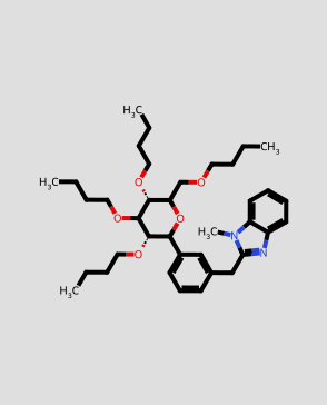 CCCCOCC1OC(c2cccc(Cc3nc4ccccc4n3C)c2)[C@H](OCCCC)C(OCCCC)[C@@H]1OCCCC